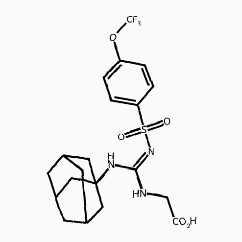 O=C(O)CN/C(=N/S(=O)(=O)c1ccc(OC(F)(F)F)cc1)NC12CC3CC(CC(C3)C1)C2